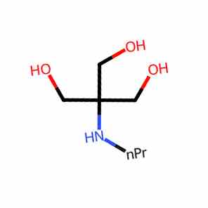 [CH2]CCNC(CO)(CO)CO